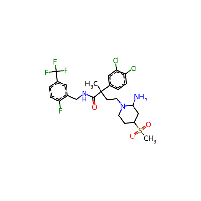 CC(CCN1CCC(S(C)(=O)=O)CC1N)(C(=O)NCc1cc(C(F)(F)F)ccc1F)c1ccc(Cl)c(Cl)c1